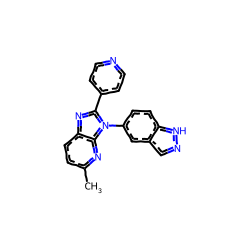 Cc1ccc2nc(-c3ccncc3)n(-c3ccc4[nH]ncc4c3)c2n1